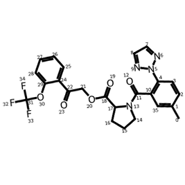 Cc1ccc(-n2nccn2)c(C(=O)N2CCCC2C(=O)OCC(=O)c2ccccc2OC(F)(F)F)c1